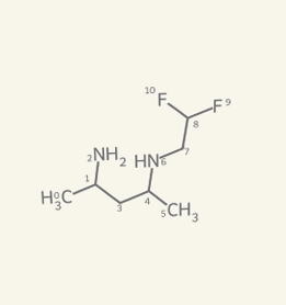 CC(N)CC(C)NCC(F)F